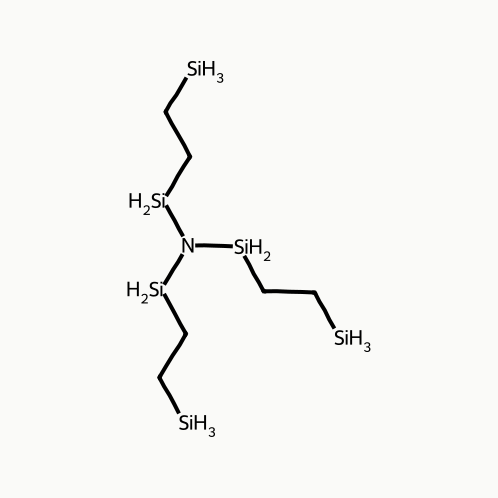 [SiH3]CC[SiH2]N([SiH2]CC[SiH3])[SiH2]CC[SiH3]